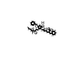 CCCCC(F)(F)C(=O)CC[C@@H]1[C@@H](CC=CCCC(Cc2ccccc2)C(=O)O)[C@@H](O)C[C@H]1OCc1ccccc1